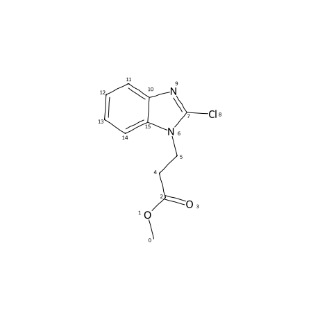 COC(=O)CCn1c(Cl)nc2ccccc21